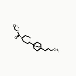 CCCCC12CCC([C@H]3CC[C@H](C(=O)OCC)CC3)(CC1)CC2